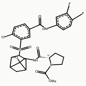 COC(=O)N1CCC[C@H]1C(=O)NCC1(O)C2CC1CC(S(=O)(=O)c1cc(C(=O)Nc3ccc(F)c(F)c3)ccc1Cl)C2